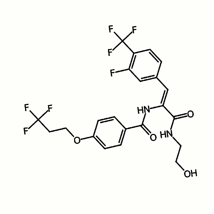 O=C(NCCO)C(=Cc1ccc(C(F)(F)F)c(F)c1)NC(=O)c1ccc(OCCC(F)(F)F)cc1